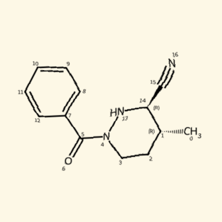 C[C@@H]1CCN(C(=O)c2ccccc2)N[C@H]1C#N